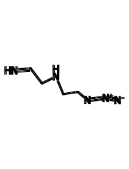 [N-]=[N+]=NCCNCC=N